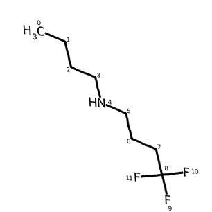 CCCCNCCCC(F)(F)F